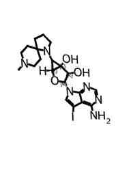 CN1CCC2(CCCN2C2[C@H]3O[C@@H](n4cc(I)c5c(N)ncnc54)[C@H](O)[C@@]23O)CC1